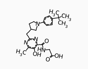 Cc1nc(CC2CCN(c3ccc(C(C)(C)C)cc3)C2)nc(C(=O)NCC(=O)O)c1O